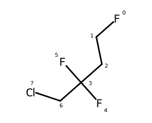 FCCC(F)(F)CCl